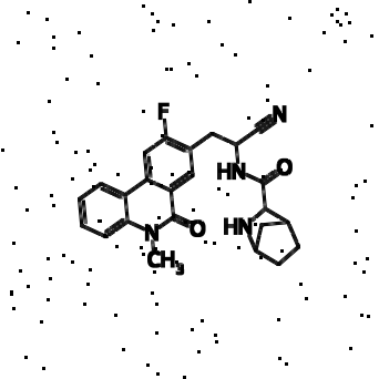 Cn1c(=O)c2cc(CC(C#N)NC(=O)C3NC4CCC3C4)c(F)cc2c2ccccc21